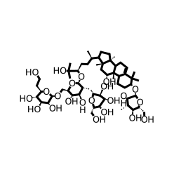 C[C@@H]1[C@@H](O)[C@H](O[C@H]2CCC3C(=CCC4[C@@]3(C)[C@H](O)C[C@]3(C)C([C@H](C)CC[C@@H](O[C@@H]5O[C@H](CO[C@@H]6O[C@H](CCO)[C@@H](O)[C@H](O)[C@H]6O)[C@@H](O)[C@H](O)[C@H]5C[C@H]5O[C@@H](CO)[C@H](O)[C@@H](O)[C@@H]5O)C(C)(C)O)CC[C@@]43C)C2(C)C)O[C@H](CO)[C@H]1O